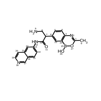 CC1=Nc2ccc(C(CN)C(=O)Nc3ccc4cnccc4c3)cc2B(O)O1